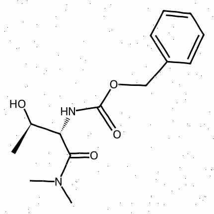 C[C@@H](O)[C@H](NC(=O)OCc1ccccc1)C(=O)N(C)C